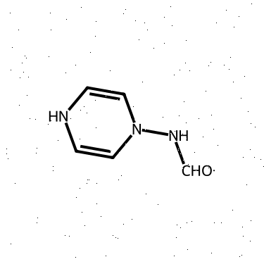 O=[C]NN1C=CNC=C1